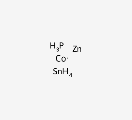 P.[Co].[SnH4].[Zn]